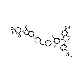 COc1cccc([C@H]2COc3cc(O)ccc3C2c2cc(F)c(N3CCC(CN4CCN(c5ccc6c(c5)CN([C@H]5CCC(=O)NC5=O)C6=O)CC4)CC3)c(F)c2)c1